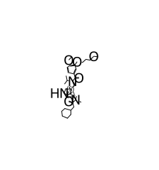 COCCCOc1cc(C(=O)N(C[C@@H]2CNC[C@H]2CN(C)C(=O)CC2CCCCC2)C(C)C)ccc1OC